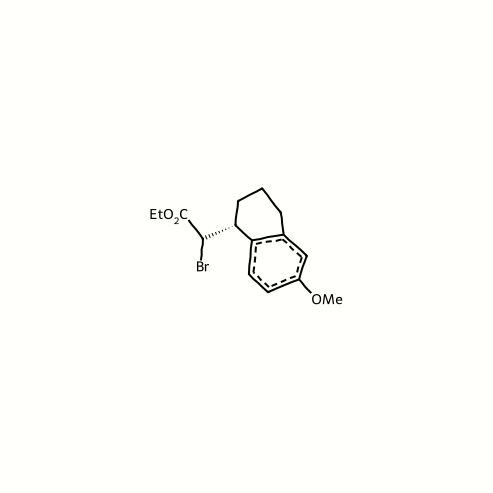 CCOC(=O)C(Br)[C@@H]1CCCc2cc(OC)ccc21